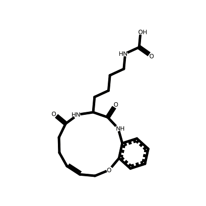 O=C(O)NCCCCC1NC(=O)CC/C=C\COc2ccccc2NC1=O